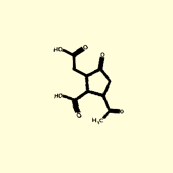 CC(=O)C1CC(=O)C(CC(=O)O)C1C(=O)O